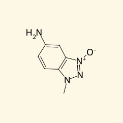 Cn1n[n+]([O-])c2cc(N)ccc21